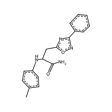 Cc1ccc(NC(Cc2nc(-c3ccccc3)no2)C(N)=O)cc1